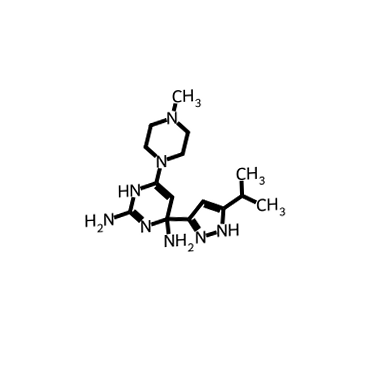 CC(C)c1cc(C2(N)C=C(N3CCN(C)CC3)NC(N)=N2)n[nH]1